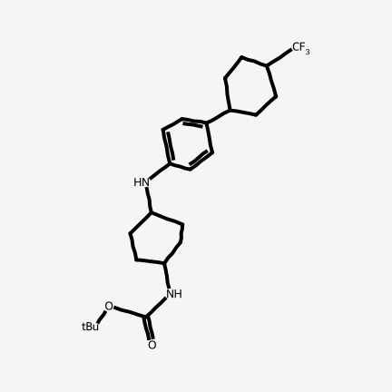 CC(C)(C)OC(=O)NC1CCC(Nc2ccc(C3CCC(C(F)(F)F)CC3)cc2)CC1